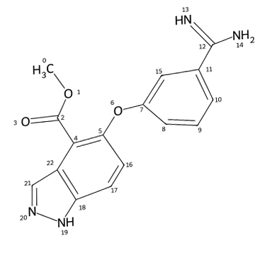 COC(=O)c1c(Oc2cccc(C(=N)N)c2)ccc2[nH]ncc12